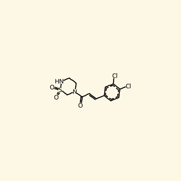 O=C(C=Cc1ccc(Cl)c(Cl)c1)N1CCNS(=O)(=O)C1